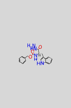 NNC(=O)[C@H](Cc1c[nH]c2ccccc12)NC(=O)OCc1ccccc1